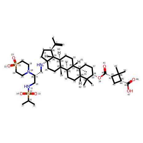 C=C(C)[C@@H]1CC[C@]2(NC[C@H](CNS(=O)(=O)C(C)C)N3CCS(=O)(=O)CC3)CC[C@]3(C)[C@H](CC[C@@H]4[C@@]5(C)CC[C@H](OC(=O)[C@H]6C[C@@H](C(=O)O)C6(C)C)C(C)(C)[C@@H]5CC[C@]43C)[C@@H]12